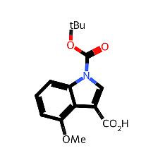 COc1cccc2c1c(C(=O)O)cn2C(=O)OC(C)(C)C